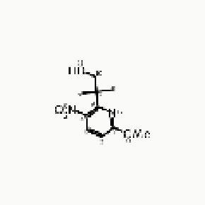 COc1ccc([N+](=O)[O-])c(C(C)(C)CO)n1